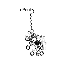 CCCCC/C=C\C/C=C\CCCCCCCCOC(=O)O[C@H]1C[C@H]2OC[C@@]2(OC(C)=O)[C@H]2[C@H](OC(=O)c3ccccc3)[C@]3(O)CC(OC(=O)[C@H](O)C(NC(=O)c4ccccc4)c4ccccc4)C(C)=C([C@@H](OC(C)=O)C(=O)[C@]12C)C3(C)C